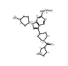 CCC[C@H](C)Nc1ncc2c(C3CCN(C(=O)C4CCNC4)CC3)cn([C@H]3CC[C@H](O)CC3)c2n1